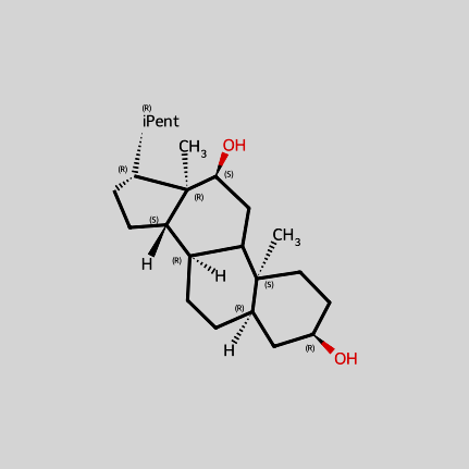 CCC[C@@H](C)[C@H]1CC[C@H]2[C@@H]3CC[C@@H]4C[C@H](O)CC[C@]4(C)C3C[C@H](O)[C@]12C